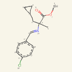 CC(C)(C)OC(=O)C(C)(CC1CC1)N=Cc1ccc(Cl)cc1